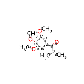 COc1cc(C(=O)C(C)C)cc(OC)c1OC